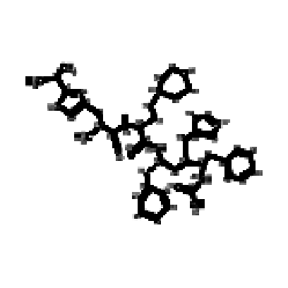 CC(C)c1nc(CN(C)C(=O)N[C@@H](CCN2CCOCC2)C(=O)N[C@@H](Cc2ccccc2)CC(Cc2cncs2)[C@@H](Cc2ccccc2)NC(=O)O)cs1